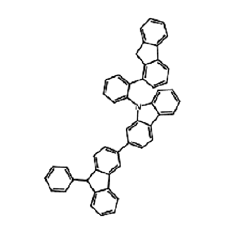 c1ccc(C2c3ccccc3-c3cc(-c4ccc5c6ccccc6n(-c6ccccc6-c6cccc7c6Cc6ccccc6-7)c5c4)ccc32)cc1